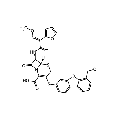 CON=C(C(=O)N[C@@H]1C(=O)N2C(C(=O)O)=C(Sc3ccc4c(c3)oc3c(CO)cccc34)CS[C@@H]12)c1ccco1